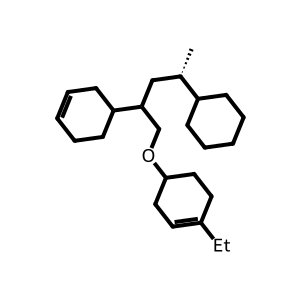 CCC1=CCC(OCC(C[C@H](C)C2CCCCC2)C2CC=CCC2)CC1